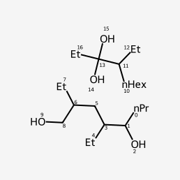 CCCC(O)C(CC)CC(CC)CO.CCCCCCC(CC)C(O)(O)CC